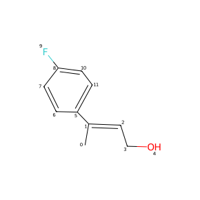 CC(=CCO)c1ccc(F)cc1